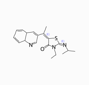 CCN1C(=O)/C(=C(/C)C2=CC3C=CC=CC3N=C2)S/C1=N/C(C)C